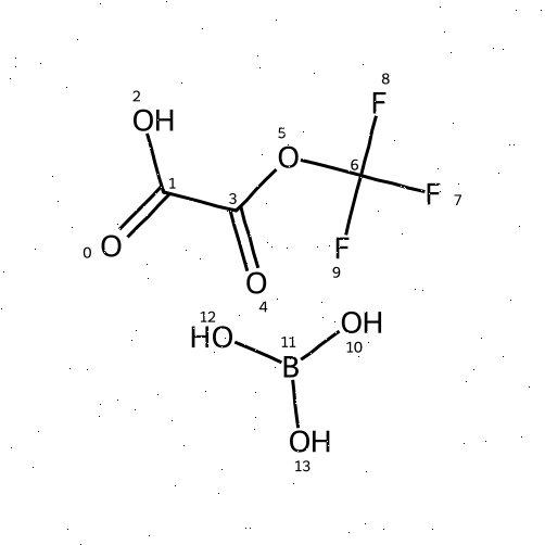 O=C(O)C(=O)OC(F)(F)F.OB(O)O